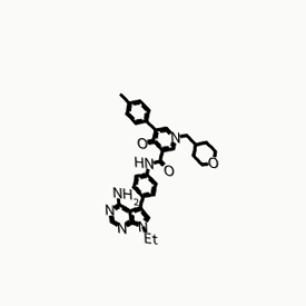 CCn1cc(-c2ccc(NC(=O)c3cn(CC4CCOCC4)cc(-c4ccc(C)cc4)c3=O)cc2)c2c(N)ncnc21